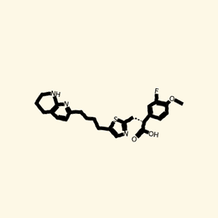 COc1ccc([C@@H](Cc2ncc(CCCCc3ccc4c(n3)NCCC4)s2)C(=O)O)cc1F